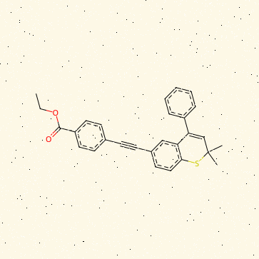 CCOC(=O)c1ccc(C#Cc2ccc3c(c2)C(c2ccccc2)=CC(C)(C)S3)cc1